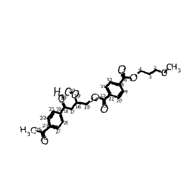 COCCCOC(=O)c1ccc(C(=O)OCC(CC(=O)c2ccc(C(C)=O)cc2)OC)cc1